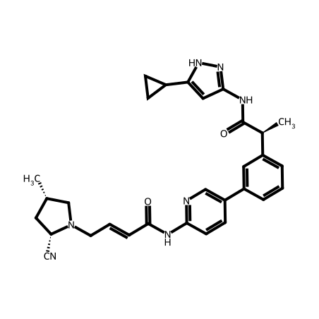 C[C@H]1C[C@@H](C#N)N(C/C=C/C(=O)Nc2ccc(-c3cccc([C@H](C)C(=O)Nc4cc(C5CC5)[nH]n4)c3)cn2)C1